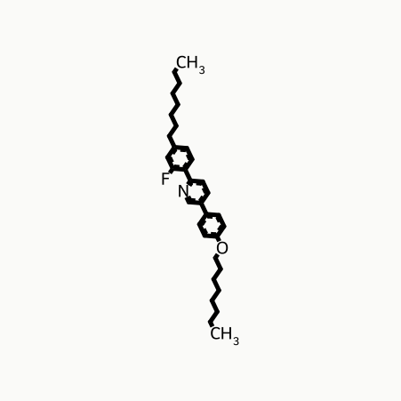 CCCCCCCCOc1ccc(-c2ccc(-c3ccc(CCCCCCCC)cc3F)nc2)cc1